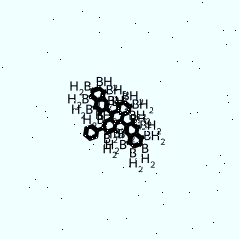 Bc1c(B)c(B)c2c(B)c(-c3c4c(B)c(B)c(B)c(B)c4c(-c4c(B)c(B)c5c(B)c(B)c(B)c(B)c5c4B)c4c(B)c(-c5ccccc5)c(B)c(B)c34)c(B)c(B)c2c1B